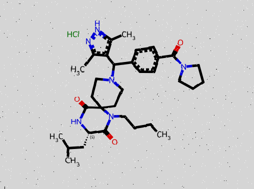 CCCCN1C(=O)[C@H](CC(C)C)NC(=O)C12CCN(C(c1ccc(C(=O)N3CCCC3)cc1)c1c(C)n[nH]c1C)CC2.Cl